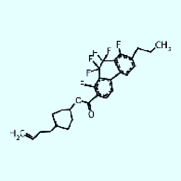 C=CCCC1CCC(OC(=O)c2ccc3c(c2F)C(F)(F)C(F)(F)c2c-3ccc(CCC)c2F)CC1